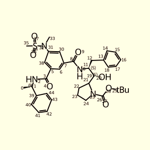 C[C@@H](NC(=O)c1cc(C(=O)N[C@@H](Cc2ccccc2)[C@H](O)C2CCCN2C(=O)OC(C)(C)C)cc(N(C)S(C)(=O)=O)c1)c1ccccc1